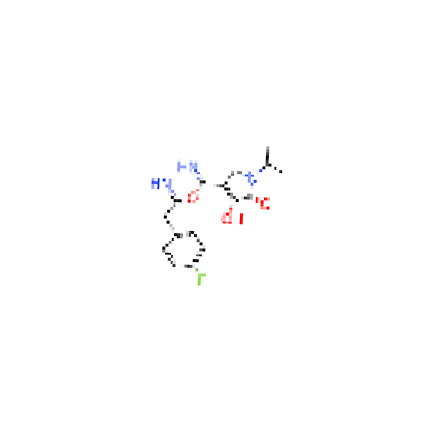 CC(C)N1CC(C(=N)OC(=N)Cc2ccc(F)cc2)=C(O)C1=O